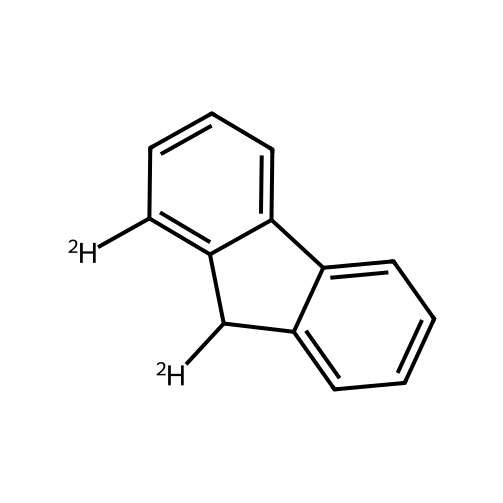 [2H]c1cccc2c1C([2H])c1ccccc1-2